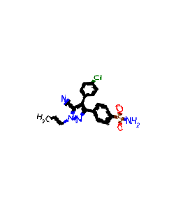 CC=Cn1nc(-c2ccc(S(N)(=O)=O)cc2)c(-c2ccc(Cl)cc2)c1C#N